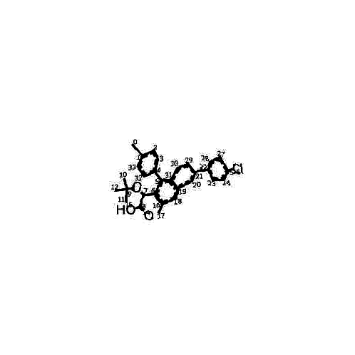 Cc1ccc(-c2c(C(OC(C)(C)C)C(=O)O)c(C)cc3cc(-c4ccc(Cl)cc4)ccc23)cc1